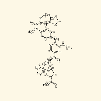 CC[C@@H]1C(=O)N(C)c2cnc(Nc3ccc(C(=O)NC4C5CN(C(=O)O)CC54C(C)(C)C)cc3OC)nc2N1C1CCCC1